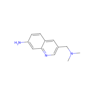 CN(C)Cc1cnc2cc(N)ccc2c1